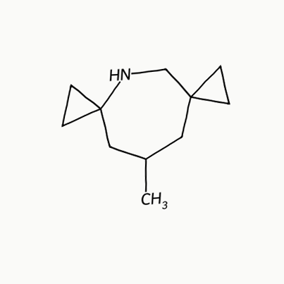 CC1CC2(CC2)CNC2(CC2)C1